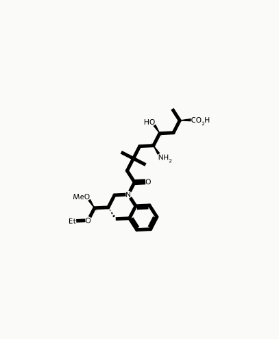 CCO[C@@H](OC)[C@H]1Cc2ccccc2N(C(=O)CC(C)(C)C[C@H](N)[C@@H](O)C[C@@H](C)C(=O)O)C1